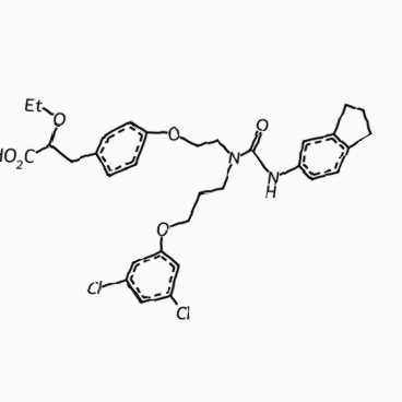 CCOC(Cc1ccc(OCCN(CCCOc2cc(Cl)cc(Cl)c2)C(=O)Nc2ccc3c(c2)CCC3)cc1)C(=O)O